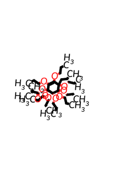 C=C(C)C(=O)OC1(OCCC)C(OCCC)=C(OCCC)C(CCC)(OCCC)C(OCCC)(OCCC)C1(OCCC)OCCC